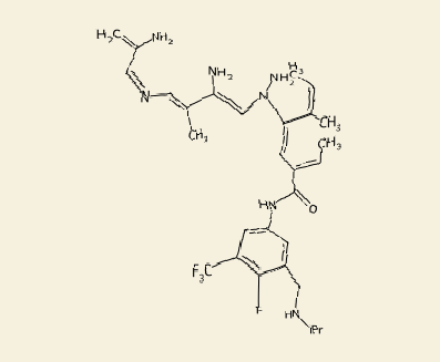 C=C(N)\C=N/C=C(C)/C(N)=C/N(N)C(=C/C(=C\C)C(=O)Nc1cc(CNC(C)C)c(F)c(C(F)(F)F)c1)/C(C)=C\C